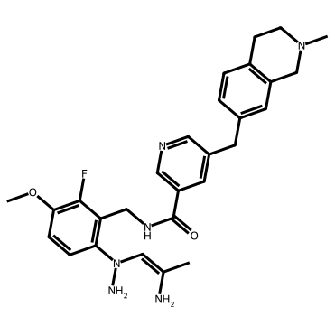 COc1ccc(N(N)/C=C(/C)N)c(CNC(=O)c2cncc(Cc3ccc4c(c3)CN(C)CC4)c2)c1F